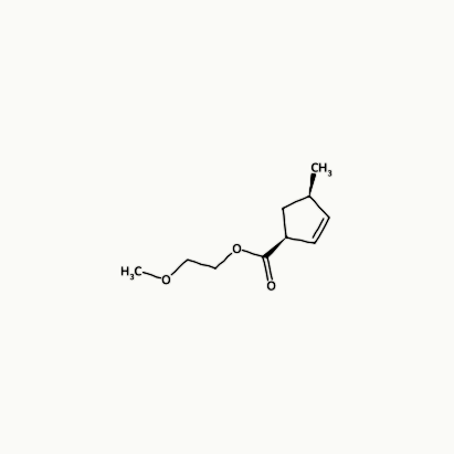 COCCOC(=O)[C@@H]1C=C[C@H](C)C1